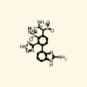 C[C@@H](N)C(c1ccc(-c2cccc3[nH]c(N)nc23)c(-c2nn[nH]n2)c1S(N)(=O)=O)[SH](=O)=O